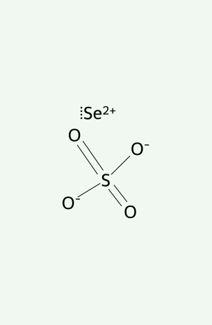 O=S(=O)([O-])[O-].[Se+2]